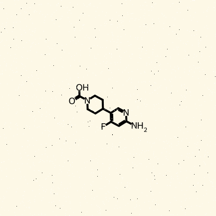 Nc1cc(F)c(C2CCN(C(=O)O)CC2)cn1